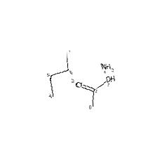 CC(=O)O.CCCC.N